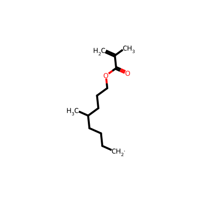 [CH2]CCCC(C)CCCOC(=O)C(=C)C